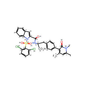 Cc1cc(C(F)(F)F)c(-c2ccc(CC(NC(=O)c3cc4ccccc4n3S(=O)(=O)c3c(Cl)cccc3Cl)C(=O)O)cc2)c(=O)n1C